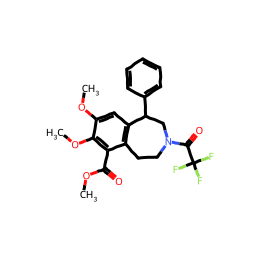 COC(=O)c1c2c(cc(OC)c1OC)C(c1ccccc1)CN(C(=O)C(F)(F)F)CC2